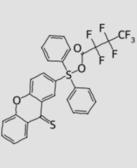 O=C(OS(c1ccccc1)(c1ccccc1)c1ccc2oc3ccccc3c(=S)c2c1)C(F)(F)C(F)(F)C(F)(F)F